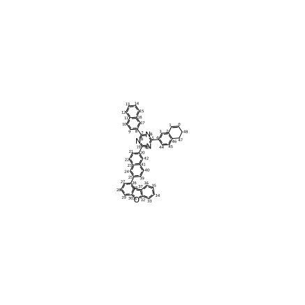 C1=Cc2cc(-c3nc(-c4ccc5ccccc5c4)nc(-c4ccc5cc(-c6cccc7oc8ccccc8c67)ccc5c4)n3)ccc2CC1